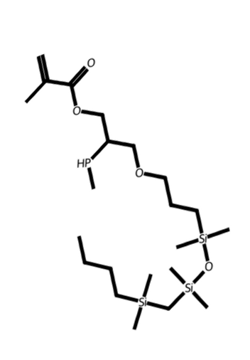 C=C(C)C(=O)OCC(COCCC[Si](C)(C)O[Si](C)(C)C[Si](C)(C)CCCC)PC